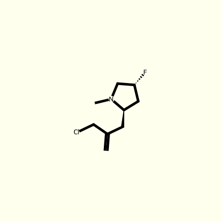 C=C(CCl)C[C@@H]1C[C@@H](F)CN1C